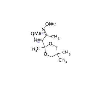 CO/N=C(C)/C(=N\OC)C1(C)OCC(C)(C)CO1